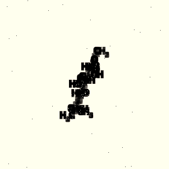 CCCOCC(=O)N[C@@H](CCC(=O)N[C@@H](CCC(=O)NCCCC[C@H](NC)C(=O)CC)C(=O)O)C(=O)O